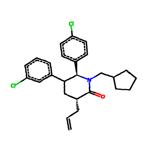 C=CC[C@@H]1CC(c2cccc(Cl)c2)[C@@H](c2ccc(Cl)cc2)N(CC2CCCC2)C1=O